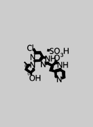 CS(=O)(=O)O.C[C@@H]1C[C@H](O)CN1c1nc(Cl)cc2[nH]c(-c3cc4cnccc4[nH]c3=O)nc12